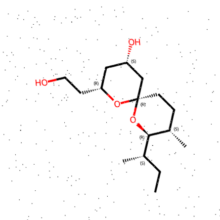 CC[C@H](C)[C@H]1O[C@]2(CC[C@@H]1C)C[C@@H](O)C[C@@H](CCO)O2